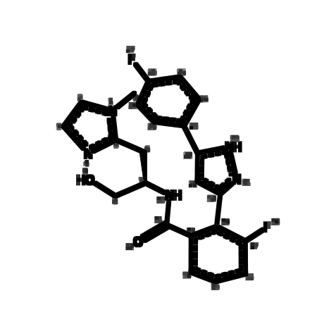 Cn1ccnc1C[C@H](CO)NC(=O)c1cccc(F)c1-c1cc(-c2ccc(F)cc2)[nH]n1